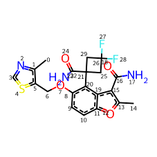 Cc1ncsc1COc1ccc2oc(C)c(C(N)=O)c2c1C1(C(N)=O)CC(F)(F)C1